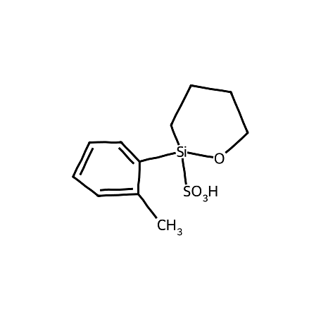 Cc1ccccc1[Si]1(S(=O)(=O)O)CCCCO1